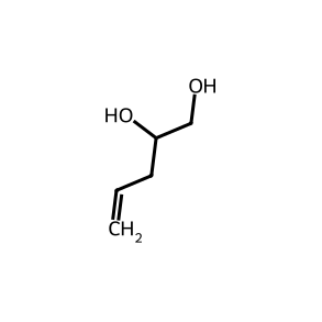 C=CCC(O)CO